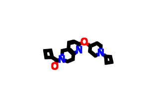 O=C(C1CCC1)N1CCc2nc(OC3CCN(C4CCC4)CC3)ccc2C1